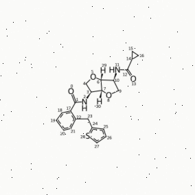 O=C(N[C@H]1CO[C@H]2[C@@H]1OC[C@@H]2NC(=O)C1CC1)c1ccccc1Cc1cccs1